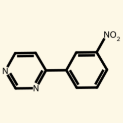 O=[N+]([O-])c1cccc(-c2ccncn2)c1